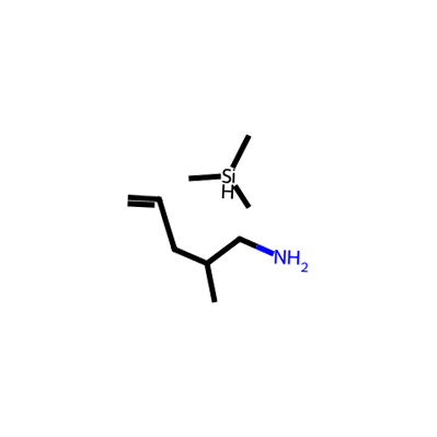 C=CCC(C)CN.C[SiH](C)C